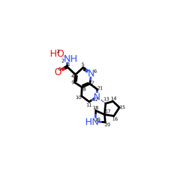 O=C(NO)c1cnc2c(c1)CCN([C@@H]1CCCC13CNC3)C2